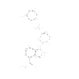 NC(=O)c1cccc2c(-c3ncnc(NCc4cccc(F)c4)n3)[nH]cc12